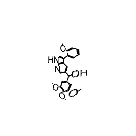 COc1ccccc1-c1c[nH]c2ncc(C(O)c3cc(OC)c(OC)c(OC)c3)cc12